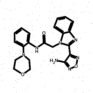 Nc1nonc1-c1nc2ccccc2n1CC(=O)Nc1ccccc1N1CCOCC1